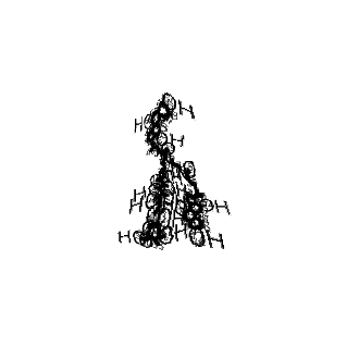 CC(CCC(=O)NCCCN(CCCNC(=O)C(O)C(O)C(O)C(O)CO[C@H]1OC(OO)C(C)C(O)[C@H]1O)C(=O)CCC(C)C1CCC2C3C(C[C@H](O)[C@]12C)[C@@]1(C)CC[C@@H](O)CC1C[C@H]3O)C1CCC2C3C(C[C@H](O)[C@]12C)[C@@]1(C)CC[C@@H](O)CC1C[C@H]3O